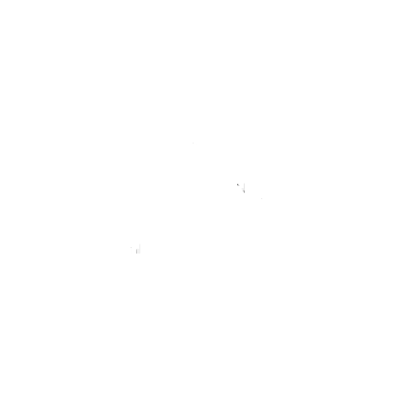 CCCC(CN)CC(C)C